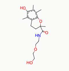 Cc1c(C)c2c(c(C)c1O)CCC(C)(C(=O)NCCOCCO)O2